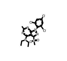 CCN(CC)c1nc(C)nc2c1c(S(C)(=O)=O)nn2-c1c(Cl)cc(Cl)cc1Cl